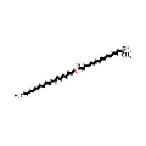 CCCCCCCCCCCCCCCCCCCCOC(=O)CCCCCCCCCCCCCCC(C)C